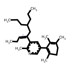 CC/C=C(/CC(CCC)CCC)c1cc(C2=C(C)CCC(C)=C2C)cnc1C